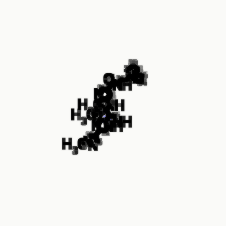 COC1=NC(c2cnn(C)c2)=CN/C1=C(\C=N)C(=O)Nc1cc(C(=O)NCCN2CCCC23CCC3)cnc1C